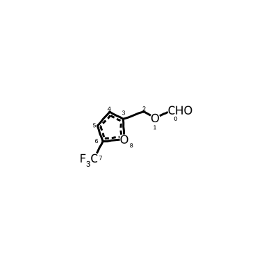 O=COCc1ccc(C(F)(F)F)o1